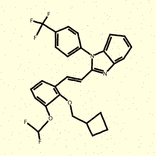 FC(F)Oc1cccc(C=Cc2nc3ccccc3n2-c2ccc(C(F)(F)F)cc2)c1OCC1CCC1